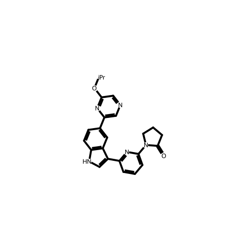 CC(C)Oc1cncc(-c2ccc3[nH]cc(-c4cccc(N5CCCC5=O)n4)c3c2)n1